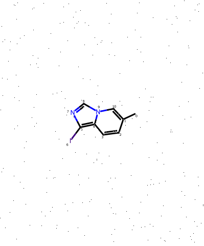 Cc1ccc2c(I)ncn2c1